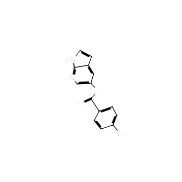 O=C(Oc1cnc2[nH]ccc2c1)c1ccc(Br)cc1